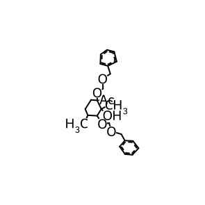 CC(=O)[C@@]1(OCOCc2ccccc2)CCC(C)C(OCOCc2ccccc2)C1(C)O